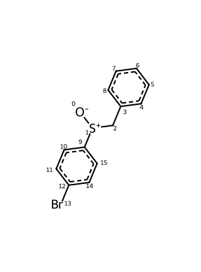 [O-][S+](Cc1ccccc1)c1ccc(Br)cc1